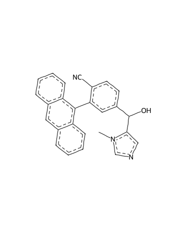 Cn1cncc1C(O)c1ccc(C#N)c(-c2c3ccccc3cc3ccccc23)c1